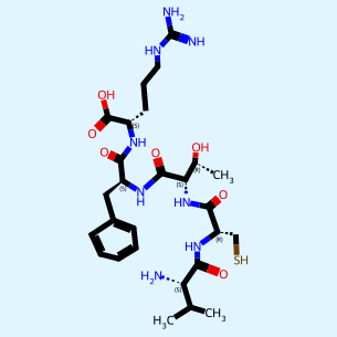 CC(C)[C@H](N)C(=O)N[C@@H](CS)C(=O)N[C@H](C(=O)N[C@@H](Cc1ccccc1)C(=O)N[C@@H](CCCNC(=N)N)C(=O)O)[C@@H](C)O